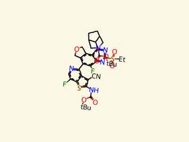 CCS(=O)(=O)c1nc(C2C3CCC2CN(C(=O)OC(C)(C)C)C3)c2c3c(c(-c4ncc(F)c5sc(NC(=O)OC(C)(C)C)c(C#N)c45)c(F)c2n1)COC3